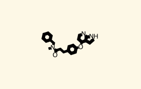 CN(Cc1ccccc1)C(=O)CCc1ccc(Oc2ccnc3[nH]ccc23)cc1